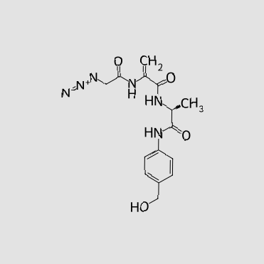 C=C(NC(=O)CN=[N+]=[N-])C(=O)N[C@@H](C)C(=O)Nc1ccc(CO)cc1